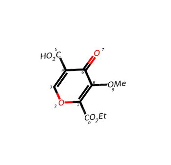 CCOC(=O)c1occ(C(=O)O)c(=O)c1OC